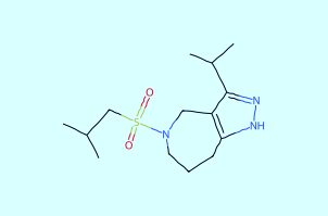 CC(C)CS(=O)(=O)N1CCCc2[nH]nc(C(C)C)c2C1